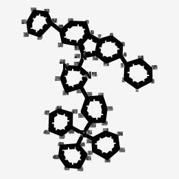 c1ccc(-c2ccc3c4ccc(-c5ccccc5)cc4n(-c4nccc(-c5cccc([Si](c6ccccc6)(c6ccccc6)c6ccccc6)c5)n4)c3c2)cc1